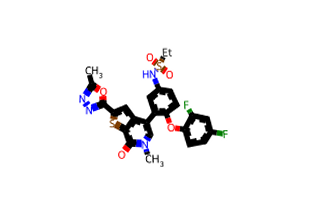 CCS(=O)(=O)Nc1ccc(Oc2ccc(F)cc2F)c(-c2cn(C)c(=O)c3sc(-c4nnc(C)o4)cc23)c1